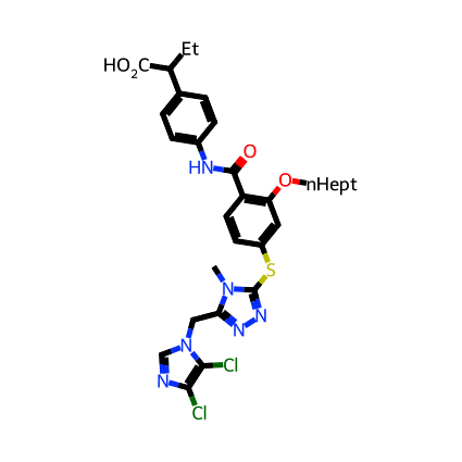 CCCCCCCOc1cc(Sc2nnc(Cn3cnc(Cl)c3Cl)n2C)ccc1C(=O)Nc1ccc(C(CC)C(=O)O)cc1